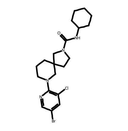 O=C(NC1CCCCC1)N1CCC2(CCCN(c3ncc(Br)cc3Cl)C2)C1